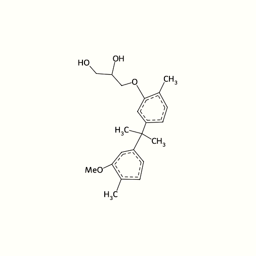 COc1cc(C(C)(C)c2ccc(C)c(OCC(O)CO)c2)ccc1C